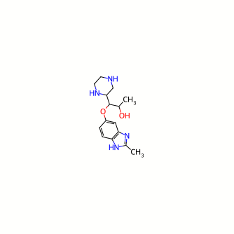 Cc1nc2cc(OC(C(C)O)C3CNCCN3)ccc2[nH]1